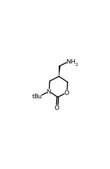 CC(C)(C)N1C[C@@H](CN)COC1=O